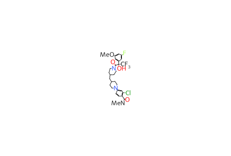 CNC(=O)c1ccc(N2CCC(CC3CCN(C(=O)C(O)(c4cc(F)cc(OC)c4)C(F)(F)F)CC3)CC2)cc1Cl